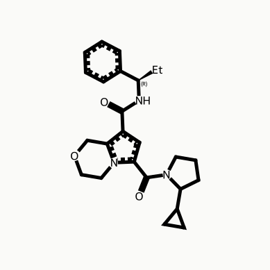 CC[C@@H](NC(=O)c1cc(C(=O)N2CCCC2C2CC2)n2c1COCC2)c1ccccc1